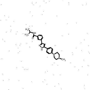 CC(C)NC(=O)c1cccc(-c2cc(-c3ccc(N4CCN(C)CC4)cc3)[nH]n2)c1